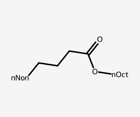 CCCCCCCCCCCCC(=O)OCCCCCCCC